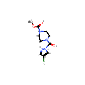 CC(C)(C)OC(=O)N1CCN(C(=O)n2cc(Cl)cn2)CC1